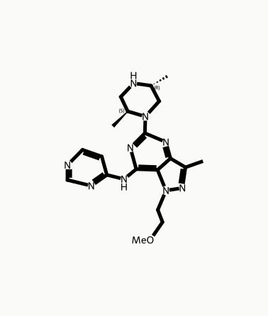 COCCn1nc(C)c2nc(N3C[C@@H](C)NC[C@@H]3C)nc(Nc3ccncn3)c21